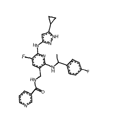 CC(Nc1nc(Nc2cc(C3CC3)[nH]n2)c(F)cc1CNC(=O)c1cccnc1)c1ccc(F)cc1